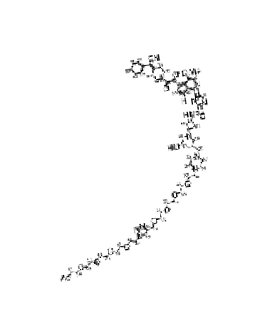 COc1cnc(-n2cnc(C(=O)NC3CC(N(CCO)CCCN4CCN(CCOCCOCCOCCOCc5cn(CCOCCOCCOCCOCCC(C)=O)nn5)CC4)C3)n2)c2[nH]cc(C(=O)C(=O)N3CCC(=C(C#N)c4ccccc4)CC3)c12